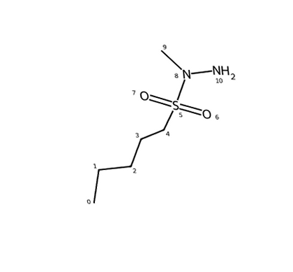 CCCCCS(=O)(=O)N(C)N